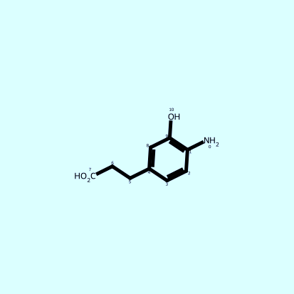 Nc1ccc(CCC(=O)O)cc1O